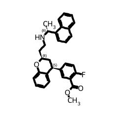 COC(=O)c1cc([C@@H]2C[C@H](CCN[C@H](C)c3cccc4ccccc34)Oc3ccccc32)ccc1F